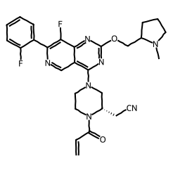 C=CC(=O)N1CCN(c2nc(OCC3CCCN3C)nc3c(F)c(-c4ccccc4F)ncc23)C[C@@H]1CC#N